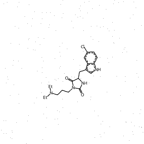 CCN(CC)CCCN1C(=O)NC(Cc2c[nH]c3ccc(Cl)cc23)C1=O